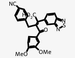 COc1ccc(C(=O)C(Cc2ccc(C#N)cc2)=C(C(=O)O)c2ccc3nsnc3c2)cc1OC